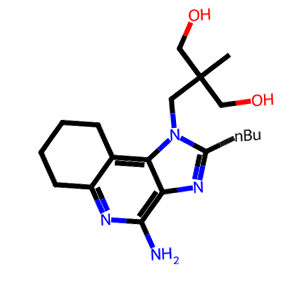 CCCCc1nc2c(N)nc3c(c2n1CC(C)(CO)CO)CCCC3